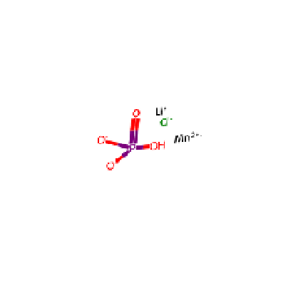 O=P([O-])([O-])O.[Cl-].[Li+].[Mn+2]